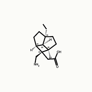 CC[C@]12CC[C@@H]3[C@H]1[C@H](CC2)[C@@]3(CN)CC(=O)O